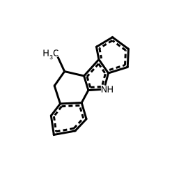 CC1Cc2ccccc2-c2[nH]c3ccccc3c21